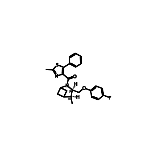 Cc1nc(C(=O)N2C3CC(C3)[C@H](C)[C@@H]2COc2ccc(F)cc2)c(-c2ccccc2)s1